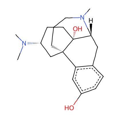 CN(C)[C@@H]1CC[C@@]2(O)[C@H]3Cc4ccc(O)cc4[C@@]2(CCCN3C)C1